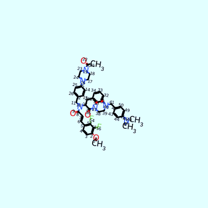 COc1ccc(C=CC(=O)N(Cc2ccc(N3CCN(C(C)=O)CC3)cc2)C(Cc2ccccc2)C(=O)N2CCN(Cc3ccc(N(C)C)cc3)CC2)c(F)c1F